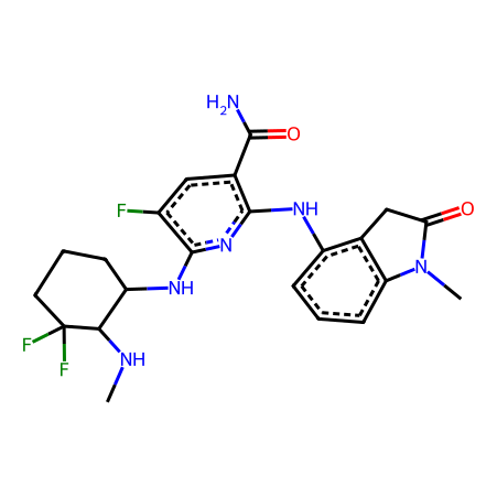 CNC1C(Nc2nc(Nc3cccc4c3CC(=O)N4C)c(C(N)=O)cc2F)CCCC1(F)F